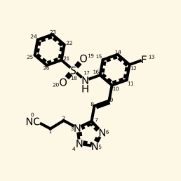 N#CCCn1nnnc1/C=C/c1cc(F)ccc1NS(=O)(=O)c1ccccc1